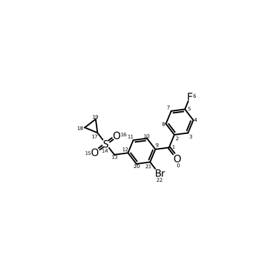 O=C(c1ccc(F)cc1)c1ccc(CS(=O)(=O)C2CC2)cc1Br